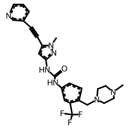 CN1CCN(Cc2ccc(NC(=O)Nc3cc(C#Cc4cccnc4)n(C)n3)cc2C(F)(F)F)CC1